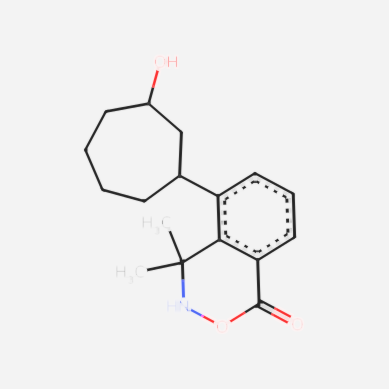 CC1(C)NOC(=O)c2cccc(C3CCCCC(O)C3)c21